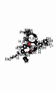 CCOCCOCCNC(=O)Oc1cc(C)c2c(c1)[C@@H](C(=O)NC1C3CC4CC(C3)CC1C4)NC(=O)[C@H]1NC(=O)[C@H](NC(=O)[C@@H]3NC(=O)[C@H](CC(N)=O)NC(=O)[C@H](NC(=O)[C@@H](CC(C)C)NC)[C@H](O)c4ccc(c(C)c4)Oc4cc3cc(c4O[C@@H]3O[C@H](CO)[C@@H](O)[C@H](O)[C@H]3O[C@H]3C[C@](C)(N)[C@H](O)[C@H](C)O3)Oc3ccc(cc3Cl)[C@H]1O)c1ccc(O)c-2c1